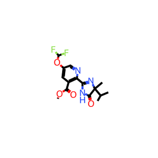 COC(=O)c1cc(OC(F)F)cnc1C1=NC(C)(C(C)C)C(=O)N1